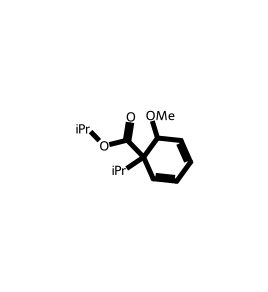 COC1C=CC=CC1(C(=O)OC(C)C)C(C)C